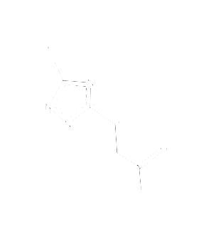 O=C(O)CCc1nc(S)n[nH]1